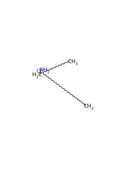 C=C(C(N)=O)C(CCCCCCCCCCCCCCCCCC)CCCCCCCCCCCCCCCCCCCCCCCCCCCCCCCCC